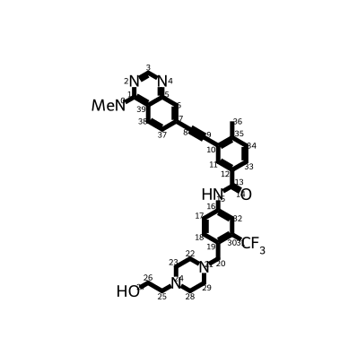 CNc1ncnc2cc(C#Cc3cc(C(=O)Nc4ccc(CN5CCN(CCO)CC5)c(C(F)(F)F)c4)ccc3C)ccc12